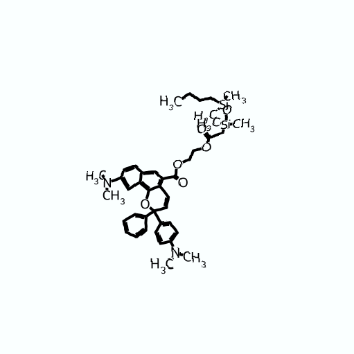 CCCC[Si](C)(C)O[Si](C)(C)CC(=O)OCCOC(=O)c1cc2ccc(N(C)C)cc2c2c1C=CC(c1ccccc1)(c1ccc(N(C)C)cc1)O2